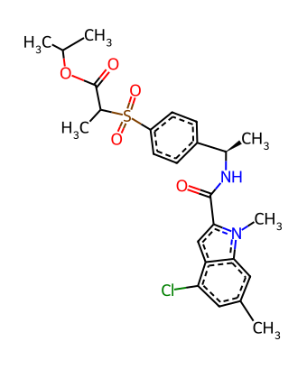 Cc1cc(Cl)c2cc(C(=O)N[C@H](C)c3ccc(S(=O)(=O)C(C)C(=O)OC(C)C)cc3)n(C)c2c1